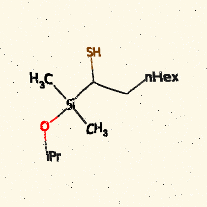 CCCCCCCC(S)[Si](C)(C)OC(C)C